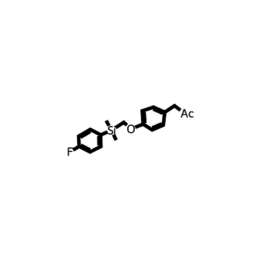 CC(=O)Cc1ccc(OC[Si](C)(C)c2ccc(F)cc2)cc1